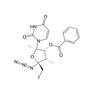 C[C@H]1[C@@H](OC(=O)c2ccccc2)[C@](C)(n2ccc(=O)[nH]c2=O)O[C@@]1(CI)N=[N+]=[N-]